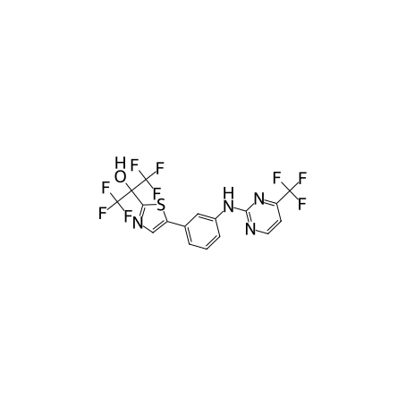 OC(c1ncc(-c2cccc(Nc3nccc(C(F)(F)F)n3)c2)s1)(C(F)(F)F)C(F)(F)F